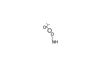 CNCCCOc1ccc(C(=O)C(C)C)cc1